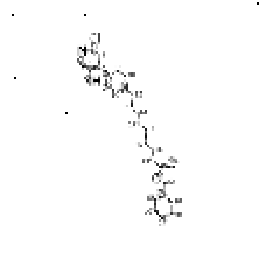 Nc1nnc(Cl)cc1N1CCN(CCCCCCCCC(=O)OCc2ccccc2)CC1